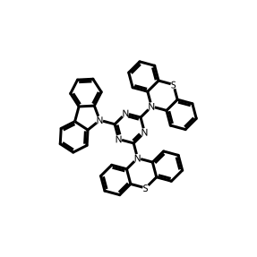 c1ccc2c(c1)Sc1ccccc1N2c1nc(N2c3ccccc3Sc3ccccc32)nc(-n2c3ccccc3c3ccccc32)n1